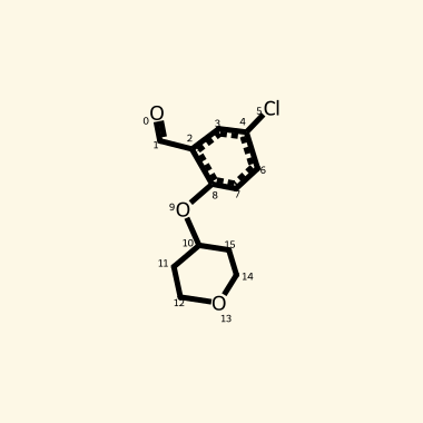 O=Cc1cc(Cl)ccc1OC1CCOCC1